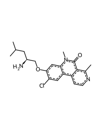 Cc1nccc2c1c(=O)n(C)c1cc(OC[C@@H](N)CC(C)C)c(Cl)cc21